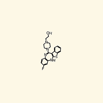 OCCN1CCN(C2=Nc3ccc(F)cc3Nc3sc4ccccc4c32)CC1